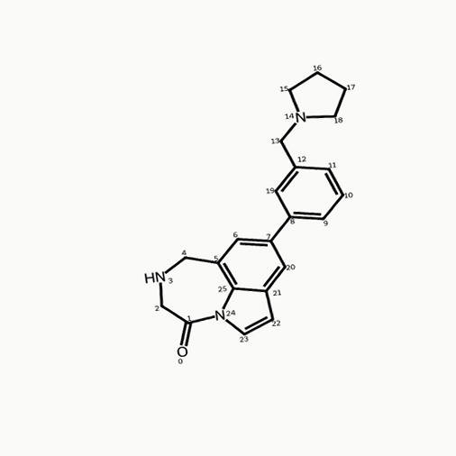 O=C1CNCc2cc(-c3cccc(CN4CCCC4)c3)cc3ccn1c23